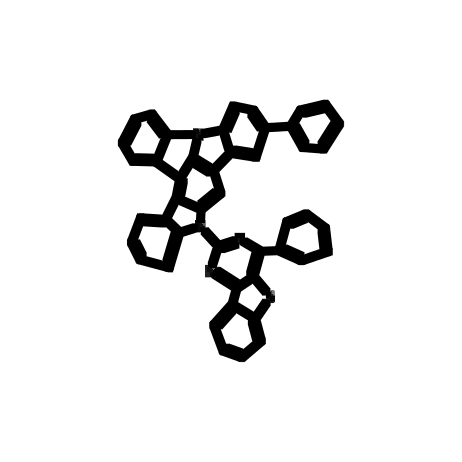 c1ccc(-c2ccc3c(c2)c2cc4c(c5ccccc5n4-c4nc(-c5ccccc5)c5sc6ccccc6c5n4)c4c5ccccc5n3c24)cc1